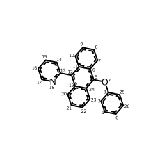 c1ccc(Oc2c3ccccc3c(-c3ccccn3)c3ccccc23)cc1